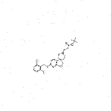 CC(C)(C)OC(=O)CCN1CCC2(CC1)COc1cc(SCc3c(Cl)cccc3Cl)ccc12